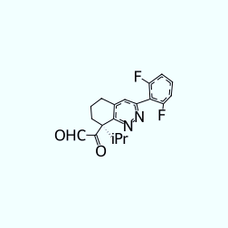 CC(C)[C@]1(C(=O)C=O)CCCc2cc(-c3c(F)cccc3F)nnc21